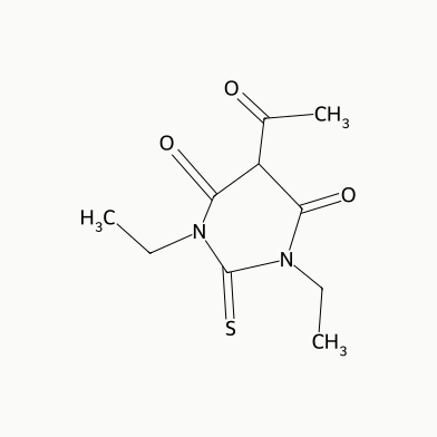 CCN1C(=O)C(C(C)=O)C(=O)N(CC)C1=S